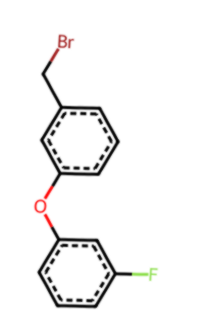 Fc1cccc(Oc2cccc(CBr)c2)c1